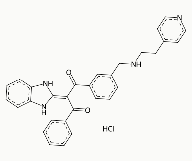 Cl.O=C(C(C(=O)c1cccc(CNCCc2ccncc2)c1)=C1Nc2ccccc2N1)c1ccccc1